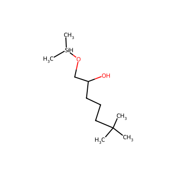 C[SiH](C)OCC(O)CCCC(C)(C)C